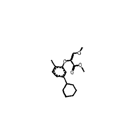 COC=C(Oc1cc(C2CCCCC2)ccc1C)C(=O)OC